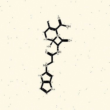 CC1=C(C(=O)O)N2C(=O)C(NC(=O)CNc3cc4sccc4s3)[C@@H]2SC1